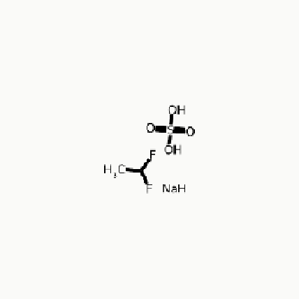 CC(F)F.O=S(=O)(O)O.[NaH]